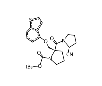 CC(C)(C)OC(=O)N1CCC[C@@]1(COc1cccc2sccc12)C(=O)N1CCC[C@H]1C#N